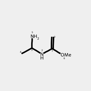 C=C(NC(C)N)OC